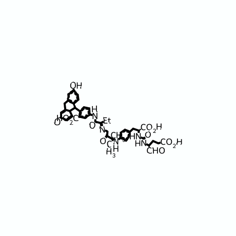 CC/C(=N\CC(=O)C(C)(C)Nc1ccc(C[C@H](NC(=O)N[C@H](C=O)CCC(=O)O)C(=O)O)cc1)C(=O)Nc1ccc(C2c3ccc(O)cc3CC3=CC(=O)C=CC32)c(C(=O)O)c1